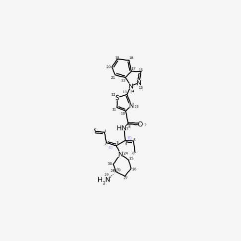 C=C/C=C(\C(=C/C)NC(=O)c1csc(-n2ncc3ccccc32)n1)N1CCC[C@H](N)C1